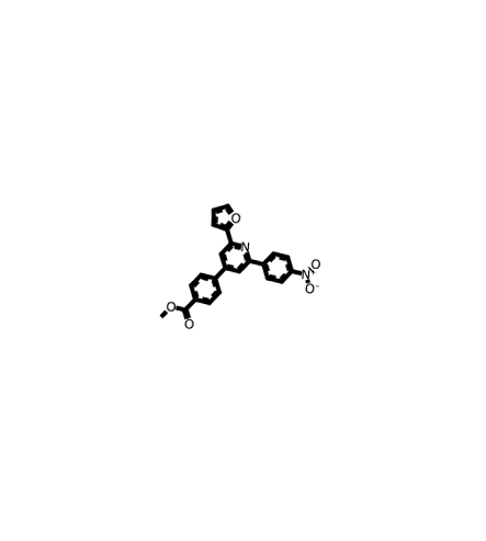 COC(=O)c1ccc(-c2cc(-c3ccc([N+](=O)[O-])cc3)nc(-c3ccco3)c2)cc1